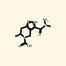 CC1Cc2n[nH]c(C(=O)N(C)N)c2CN1C(=O)O